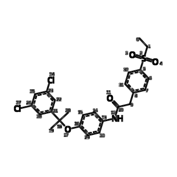 CCS(=O)(=O)c1ccc(CC(=O)Nc2ccc(OC(C)(C)c3cc(Cl)cc(Cl)c3)cc2)cc1